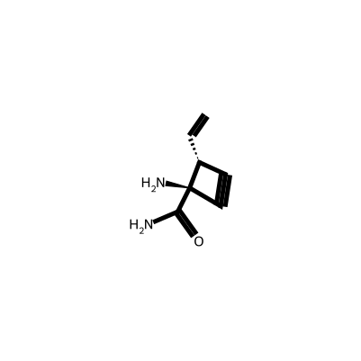 C=C[C@@H]1C#C[C@]1(N)C(N)=O